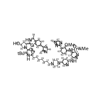 CNC(=O)c1nnc(Nc2ccc(N3CCN(CCCCCCCC(=O)NC(C(=O)N4C[C@H](O)C[C@H]4C(=O)N[C@@H](C)c4ccc(-c5scnc5C)cc4)C(C)(C)C)CC3)cn2)cc1Nc1cccc(-c2ncn(C)n2)c1OC